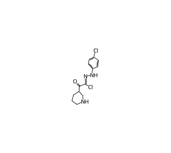 O=C(C(Cl)=NNc1ccc(Cl)cc1)C1CCCNC1